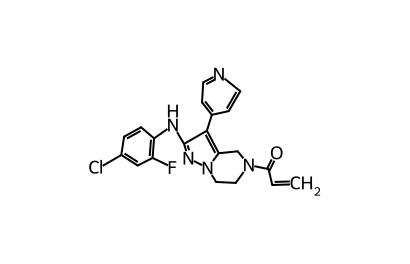 C=CC(=O)N1CCn2nc(Nc3ccc(Cl)cc3F)c(-c3ccncc3)c2C1